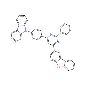 c1ccc(-c2nc(-c3ccc(-n4c5ccccc5c5ccccc54)cc3)cc(-c3ccc4oc5ccccc5c4c3)n2)cc1